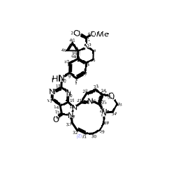 COC(=O)N1CCc2ccc(Nc3ncc4c(=O)n5n(c4n3)-c3ccc4c(n3)N(CCC/C=C\C5)CCO4)cc2C12CC2